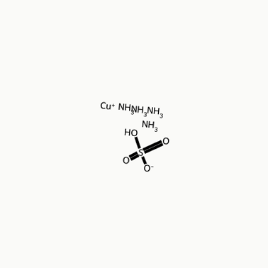 N.N.N.N.O=S(=O)([O-])O.[Cu+]